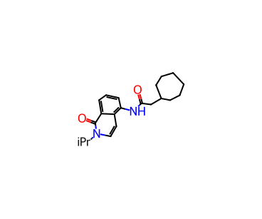 [CH2]C([CH2])n1ccc2c(NC(=O)CC3CCCCCC3)cccc2c1=O